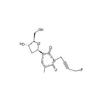 Cc1cn([C@H]2C[C@H](O)[C@@H](CO)O2)c(=O)n(CC#CCF)c1=O